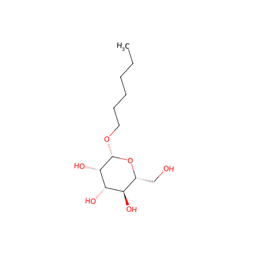 CCCCCCO[C@@H]1O[C@H](CO)[C@@H](O)[C@H](O)[C@@H]1O